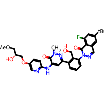 COC[C@@H](O)COc1ccc(Nc2cc(-c3cccc(-n4ncc5cc(C(C)(C)C)cc(F)c5c4=O)c3CO)nn(C)c2=O)nc1